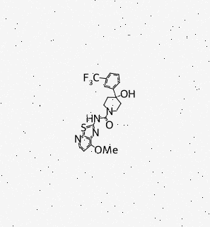 COc1ccnc2sc(NC(=O)N3CCC(O)(c4cccc(C(F)(F)F)c4)CC3)nc12